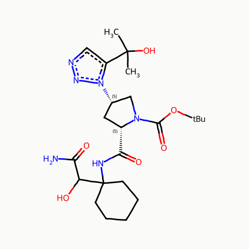 CC(C)(C)OC(=O)N1C[C@@H](n2nncc2C(C)(C)O)C[C@H]1C(=O)NC1(C(O)C(N)=O)CCCCC1